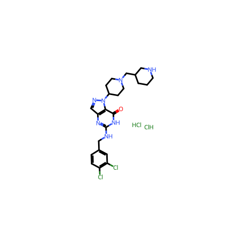 Cl.Cl.O=c1[nH]c(NCc2ccc(Cl)c(Cl)c2)nc2cnn(C3CCN(CC4CCCNC4)CC3)c12